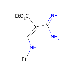 CCN/C=C(\C(=N)N)C(=O)OCC